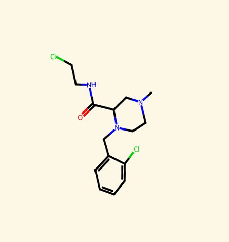 CN1CCN(Cc2ccccc2Cl)C(C(=O)NCCCl)C1